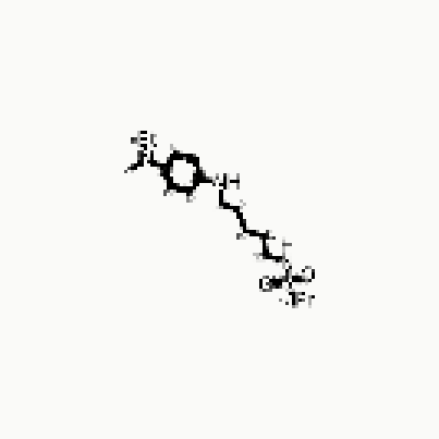 CCN(C)c1ccc(NCCCCCNS(=O)(=O)C(C)C)cc1